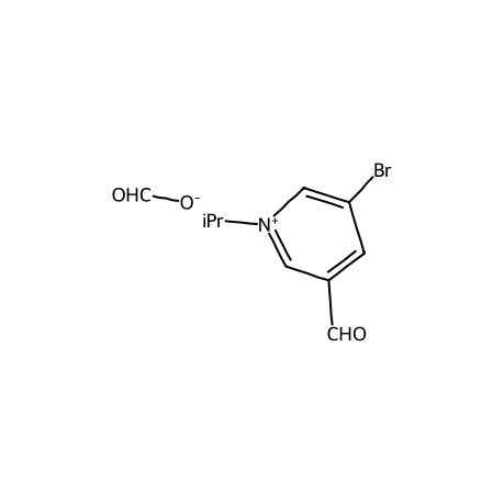 CC(C)[n+]1cc(Br)cc(C=O)c1.O=C[O-]